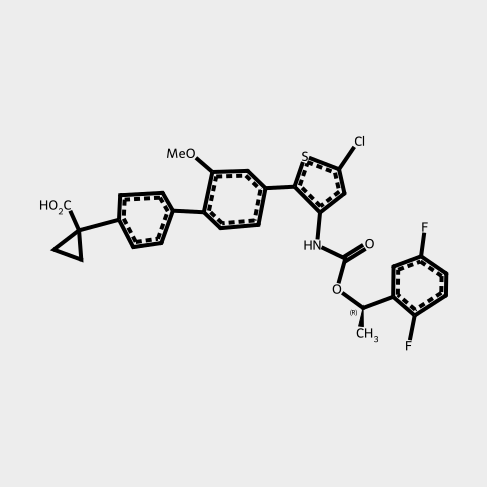 COc1cc(-c2sc(Cl)cc2NC(=O)O[C@H](C)c2cc(F)ccc2F)ccc1-c1ccc(C2(C(=O)O)CC2)cc1